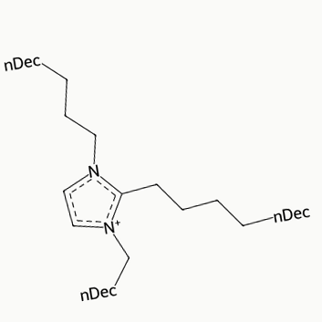 CCCCCCCCCCCCCCc1n(CCCCCCCCCCCCC)cc[n+]1CCCCCCCCCCC